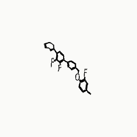 Cc1ccc(OCc2ccc(-c3ccc(C4CCCCC4)c(F)c3F)cc2)c(F)c1